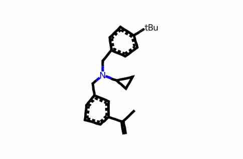 C=C(C)c1cccc(CN(Cc2ccc(C(C)(C)C)cc2)C2CC2)c1